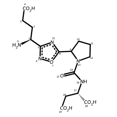 N[C@@H](CCC(=O)O)c1noc(C2CCCN2C(=O)N[C@@H](CC(=O)O)C(=O)O)n1